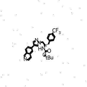 CC(C)(C)OC(=O)N[C@@H](Cc1ccc(C(F)(F)F)cc1)Cn1cc(-c2ccc3cnccc3c2)cn1